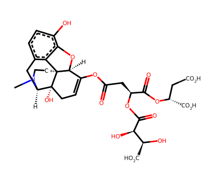 CN1CC[C@]23c4c5ccc(O)c4O[C@H]2C(OC(=O)C[C@H](OC(=O)[C@H](O)[C@@H](O)C(=O)O)C(=O)O[C@H](CC(=O)O)C(=O)O)=CC[C@@]3(O)[C@H]1C5